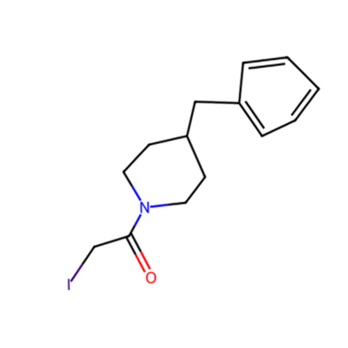 O=C(CI)N1CCC(Cc2ccccc2)CC1